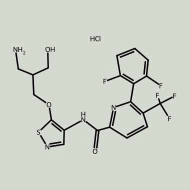 Cl.NCC(CO)COc1sncc1NC(=O)c1ccc(C(F)(F)F)c(-c2c(F)cccc2F)n1